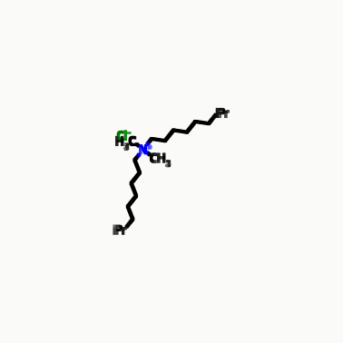 CC(C)CCCCCC[N+](C)(C)CCCCCCC(C)C.[Cl-]